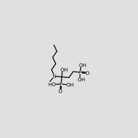 CCCCCN(C)C(O)(CCP(=O)(O)O)P(=O)(O)O